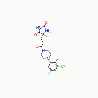 Cc1c(Cl)cc(F)cc1N1CCN(C(=O)CCC2(C)NC(=O)NC2=O)CC1